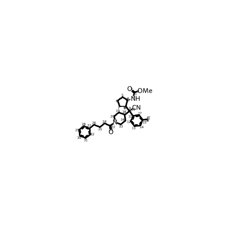 COC(=O)N[C@H]1CCC[C@@H]1[C@](C#N)(c1cccc(F)c1)C1CCN(C(=O)CCCc2ccccc2)CC1